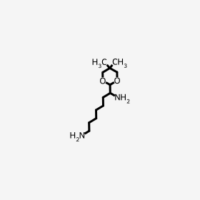 CC1(C)COC(C(N)CCCCCCN)OC1